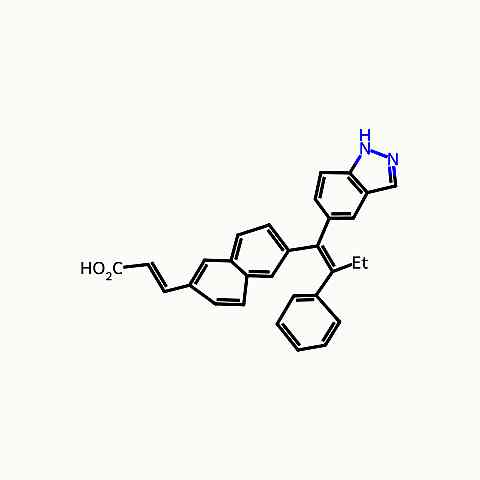 CCC(=C(c1ccc2cc(C=CC(=O)O)ccc2c1)c1ccc2[nH]ncc2c1)c1ccccc1